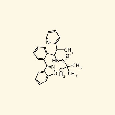 CC(c1ccccn1)[C@@H](N[S@@+]([O-])C(C)(C)C)c1ccccc1-c1noc2ccccc12